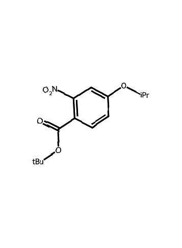 CC(C)Oc1ccc(C(=O)OC(C)(C)C)c([N+](=O)[O-])c1